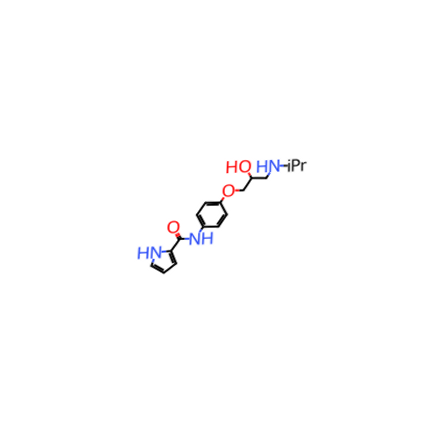 CC(C)NCC(O)COc1ccc(NC(=O)c2ccc[nH]2)cc1